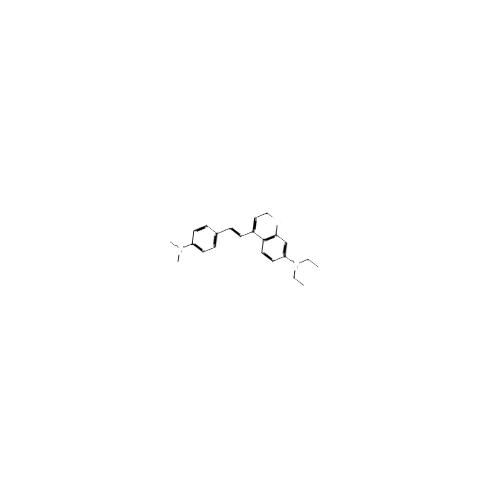 CCN(CC)c1ccc2c(c1)OCC=C2C=Cc1ccc(N(C)C)cc1